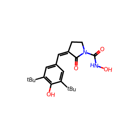 CC(C)(C)c1cc(C=C2CCN(C(=O)NO)C2=O)cc(C(C)(C)C)c1O